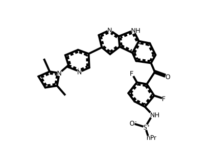 CCC[S+]([O-])Nc1ccc(F)c(C(=O)c2ccc3[nH]c4ncc(-c5ccc(-n6c(C)ccc6C)nc5)cc4c3c2)c1F